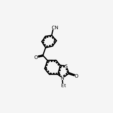 CCn1c(=O)sc2cc(C(=O)c3ccc(C#N)cc3)ccc21